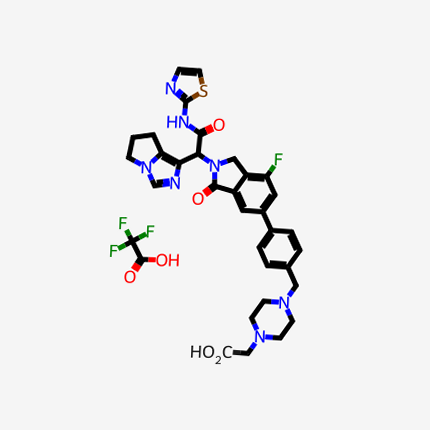 O=C(O)C(F)(F)F.O=C(O)CN1CCN(Cc2ccc(-c3cc(F)c4c(c3)C(=O)N(C(C(=O)Nc3nccs3)c3ncn5c3CCC5)C4)cc2)CC1